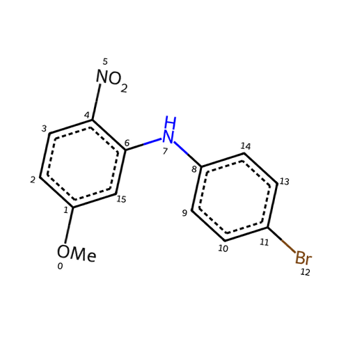 COc1ccc([N+](=O)[O-])c(Nc2ccc(Br)cc2)c1